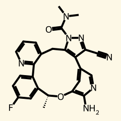 C[C@H]1Oc2cc(cnc2N)-c2c(C#N)nn(C(=O)N(C)C)c2Cc2cccnc2-c2ccc(F)cc21